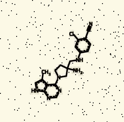 Cc1c[nH]c2ncnc(N3CCC(N)(CNc4ccc(C#N)c(Cl)c4)C3)c12